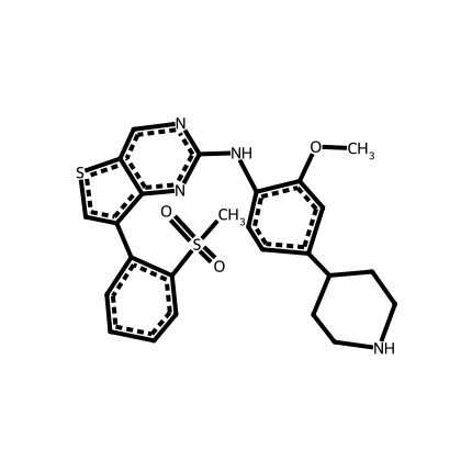 COc1cc(C2CCNCC2)ccc1Nc1ncc2scc(-c3ccccc3S(C)(=O)=O)c2n1